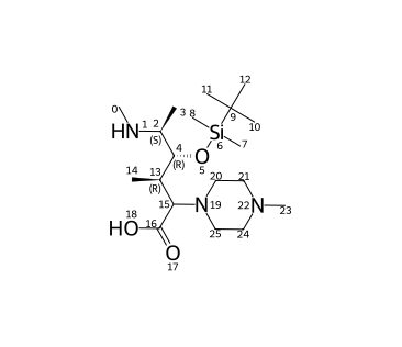 CN[C@@H](C)[C@H](O[Si](C)(C)C(C)(C)C)[C@H](C)C(C(=O)O)N1CCN(C)CC1